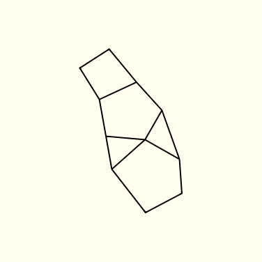 C1CC2C1C1C3CCC4C2C341